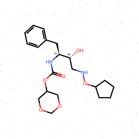 O=C(N[C@@H](Cc1ccccc1)[C@H](O)CNOC1CCCC1)OC1COCOC1